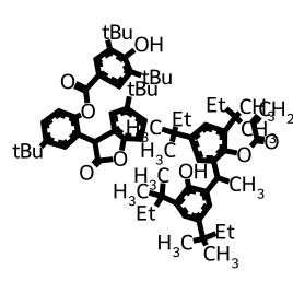 C=CC(=O)Oc1c(C(C)c2cc(C(C)(C)CC)cc(C(C)(C)CC)c2O)cc(C(C)(C)CC)cc1C(C)(C)CC.CC(C)(C)c1ccc(OC(=O)c2cc(C(C)(C)C)c(O)c(C(C)(C)C)c2)c(C2C(=O)Oc3ccc(C(C)(C)C)cc32)c1